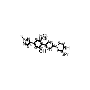 CC(C)[C@H]1CN(c2ncc(-c3ccc(-c4cnn(C)n4)cc3O)nn2)CCN1.Cl.Cl